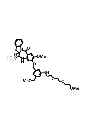 COCCOCCOCCNc1cc(COC)cc(COc2cc3c(cc2OC)C(=O)N2c4ccccc4C[C@H]2C(S(=O)(=O)O)N3)c1